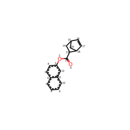 O=C(Oc1ccc2ccccc2c1)C1CC2C=CC1C2